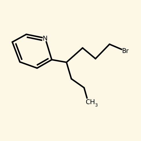 CCCC(CCCBr)c1ccccn1